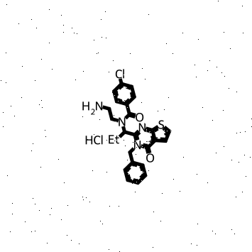 CCC(c1nc2sccc2c(=O)n1Cc1ccccc1)N(CCN)C(=O)c1ccc(Cl)cc1.Cl